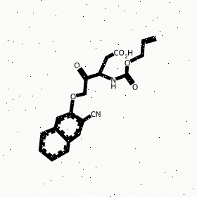 C=CCOC(=O)NC(CC(=O)O)C(=O)COc1cc2ccccc2cc1C#N